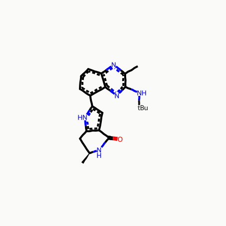 Cc1nc2cccc(-c3cc4c([nH]3)C[C@H](C)NC4=O)c2nc1NC(C)(C)C